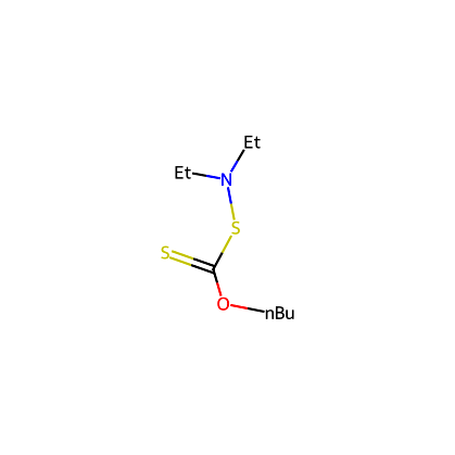 CCCCOC(=S)SN(CC)CC